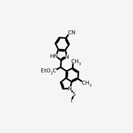 CCOC(=O)C(c1nc2cc(C#N)ccc2[nH]1)c1c(C)cc(C)c2c1ccn2SI